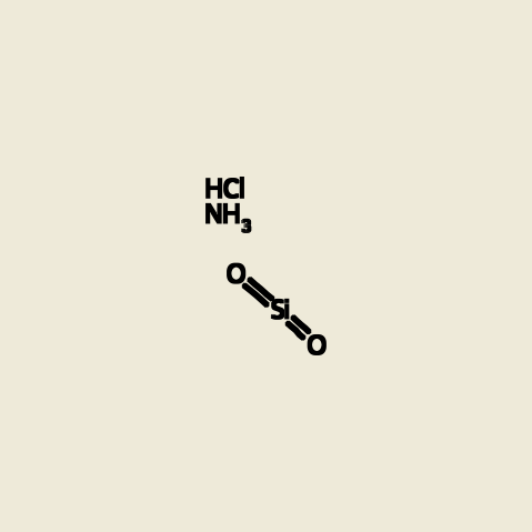 Cl.N.O=[Si]=O